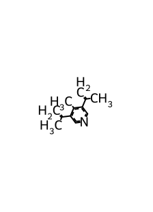 C=C(C)c1cncc(C(=C)C)c1C